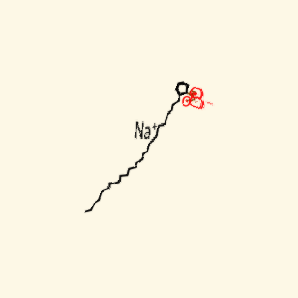 CCCCCCCCCCCCCCCCCCCCCCCCc1ccccc1S(=O)(=O)[O-].[Na+]